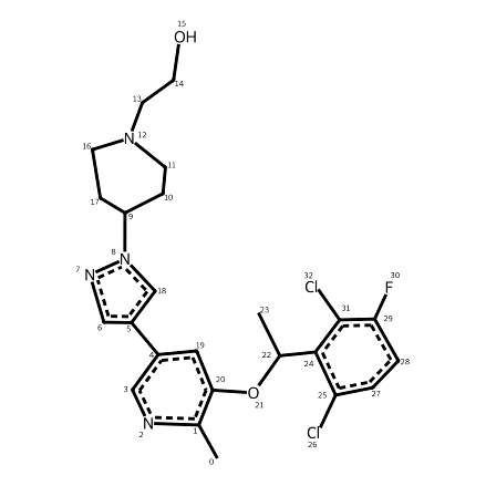 Cc1ncc(-c2cnn(C3CCN(CCO)CC3)c2)cc1OC(C)c1c(Cl)ccc(F)c1Cl